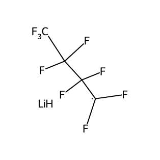 F[C](F)C(F)(F)C(F)(F)C(F)(F)F.[LiH]